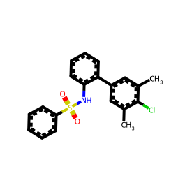 Cc1cc(-c2ccccc2NS(=O)(=O)c2ccccc2)cc(C)c1Cl